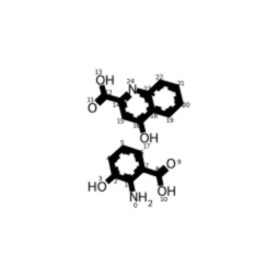 Nc1c(O)cccc1C(=O)O.O=C(O)c1cc(O)c2ccccc2n1